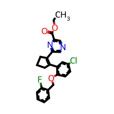 CCOC(=O)c1cncc(C2=C(c3cc(Cl)ccc3OCc3ccccc3F)CCC2)n1